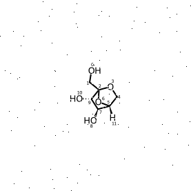 OCC12OC[C@@H](O1)[C@@H](O)[C@@H]2O